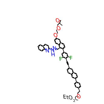 CCOC(=O)OCCc1ccc(-c2ccc3cc(C#Cc4c(F)cc(-c5ccc6cc(OCCOCC7(C)CO7)ccc6c5/C=N/Nc5ccc6ccccc6n5)cc4F)ccc3c2)cc1